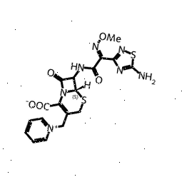 CON=C(C(=O)NC1C(=O)N2C(C(=O)[O-])=C(C[n+]3ccccc3)CS[C@@H]12)c1nsc(N)n1